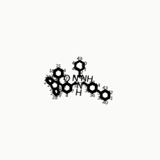 C1=CC(C2=NC(c3cccc4c3Oc3ccccc3C43c4ccccc4-c4ccccc43)NC(c3ccc(-c4ccccc4)cc3)N2)=CCC1